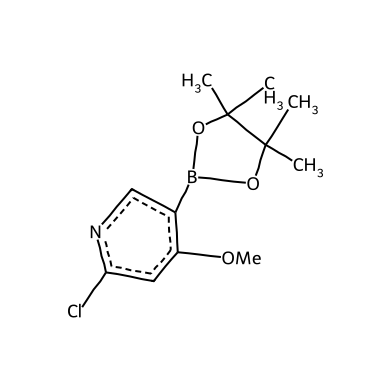 COc1cc(Cl)ncc1B1OC(C)(C)C(C)(C)O1